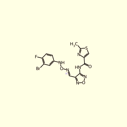 Cc1nc(C(=O)Nc2nonc2/C=N/ONc2ccc(F)c(Br)c2)cs1